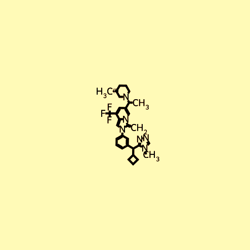 C=C1N2C=C(C(C)N3CCC[C@H](C)C3)C=C(C(F)(F)F)C2=CN1c1cccc(C(c2nncn2C)C2CCC2)c1